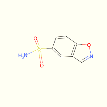 NS(=O)(=O)c1ccc2oncc2c1